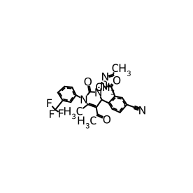 CC(=O)C1=C(C)N(c2cccc(C(F)(F)F)c2)C(=O)N(C)C1c1ccc(C#N)cc1-c1nnc(C)o1